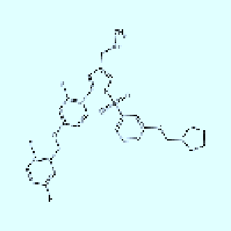 CNCc1cc(-c2ccc(OCc3cc(F)ccc3F)cc2F)n(S(=O)(=O)c2cccc(OCC3CCCC3)c2)c1